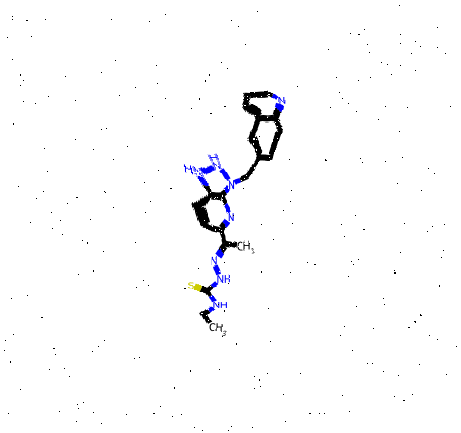 CCNC(=S)N/N=C(\C)c1ccc2c(n1)N(Cc1ccc3ncccc3c1)NN2